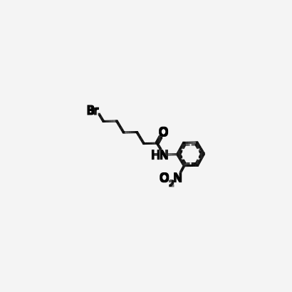 O=C(CCCCCBr)Nc1ccccc1[N+](=O)[O-]